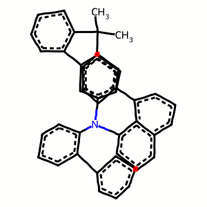 CC1(C)c2ccccc2-c2cc(N(c3ccccc3-c3ccccc3)c3cccc4cccc(-c5ccccc5)c34)ccc21